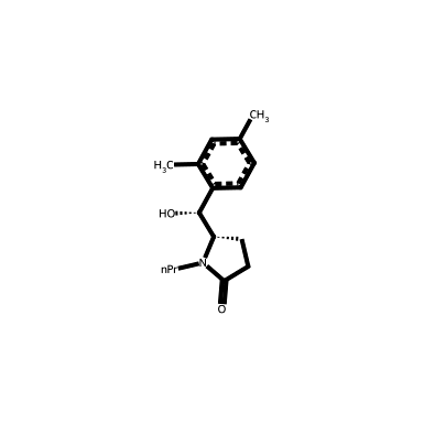 CCCN1C(=O)CC[C@H]1[C@H](O)c1ccc(C)cc1C